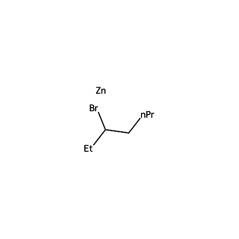 CCCCC(Br)CC.[Zn]